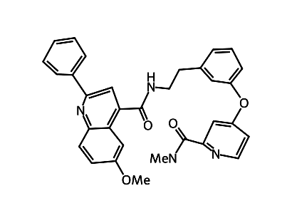 CNC(=O)c1cc(Oc2cccc(CCNC(=O)c3cc(-c4ccccc4)nc4ccc(OC)cc34)c2)ccn1